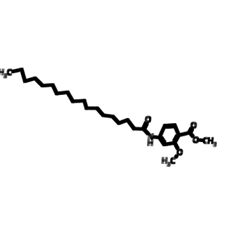 CCCCCCCCCCCCCCCCCC(=O)Nc1ccc(C(=O)OC)c(OC)c1